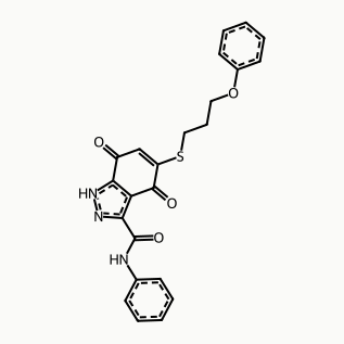 O=C(Nc1ccccc1)c1n[nH]c2c1C(=O)C(SCCCOc1ccccc1)=CC2=O